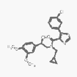 COc1ccc(C(O)CN(CC2CC2)C(=O)c2ncsc2-c2cccc(Cl)c2)cc1OC